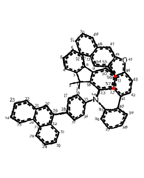 CC1(C)c2ccccc2-c2cccc(N(c3ccc(-c4cc5ccccc5c5ccccc45)cc3)c3ccccc3-c3ccc4oc5cc6ccccc6cc5c4c3)c21